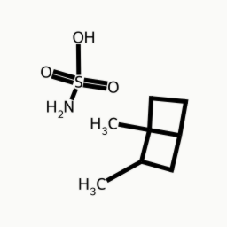 CC1CC2CCC12C.NS(=O)(=O)O